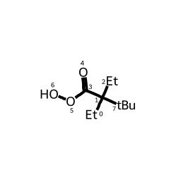 CCC(CC)(C(=O)OO)C(C)(C)C